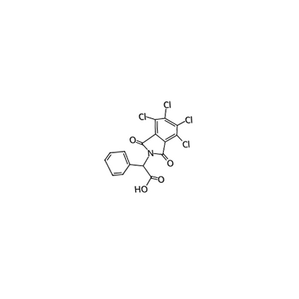 O=C(O)C(c1ccccc1)N1C(=O)c2c(Cl)c(Cl)c(Cl)c(Cl)c2C1=O